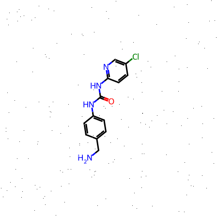 NCc1ccc(NC(=O)Nc2ccc(Cl)cn2)cc1